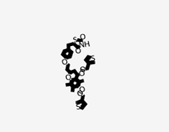 Cc1c(C)c2c(c(C)c1OOCc1ccsc1)C(OOCc1ccsc1)CC(CCOc1ccc(CC3SC(=O)NC3=O)cc1)O2